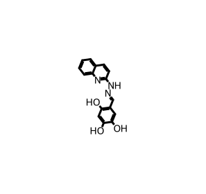 Oc1cc(O)c(/C=N/Nc2ccc3ccccc3n2)cc1O